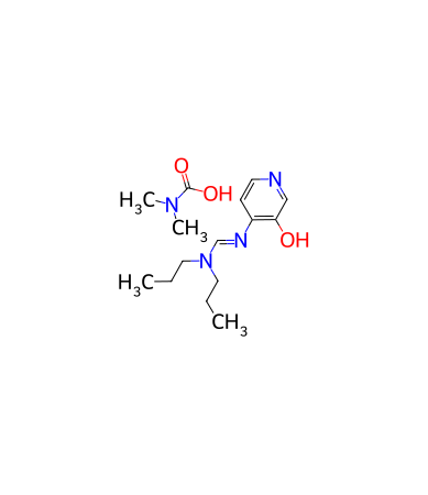 CCCN(C=Nc1ccncc1O)CCC.CN(C)C(=O)O